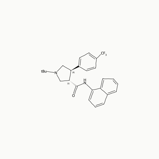 CC(C)(C)N1C[C@@H](C(=O)Nc2cccc3ccccc23)[C@H](c2ccc(C(F)(F)F)cc2)C1